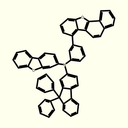 c1ccc(C2(c3ccccc3)c3ccccc3-c3ccc(N(c4cccc(-c5cccc6oc7c8ccccc8ccc7c56)c4)c4ccc5c(c4)oc4ccccc45)cc32)cc1